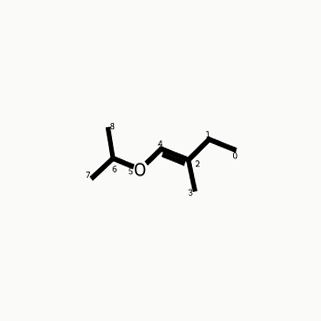 CC/C(C)=C/OC(C)C